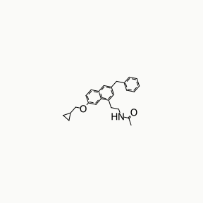 CC(=O)NCCc1cc(Cc2ccccc2)cc2ccc(OCC3CC3)cc12